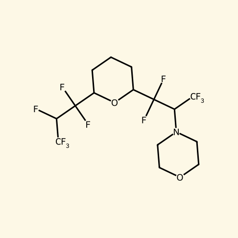 FC(C(F)(F)F)C(F)(F)C1CCCC(C(F)(F)C(N2CCOCC2)C(F)(F)F)O1